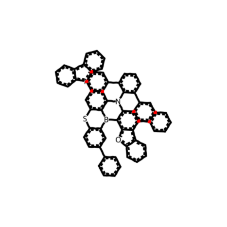 c1ccc(-c2ccc3c(c2)B2c4c(cc(-n5c6ccccc6c6ccccc65)cc4N(c4c(-c5ccccc5)cccc4-c4ccccc4)c4cc(-c5ccccc5)c5c(oc6ccccc65)c42)S3)cc1